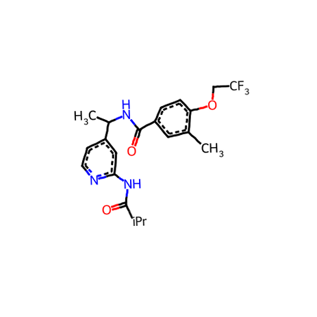 Cc1cc(C(=O)NC(C)c2ccnc(NC(=O)C(C)C)c2)ccc1OCC(F)(F)F